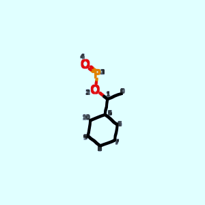 CC(OP=O)C1CCCCC1